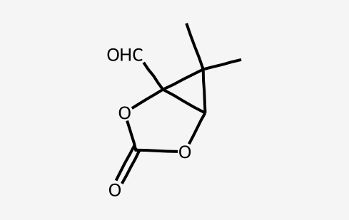 CC1(C)C2OC(=O)OC21C=O